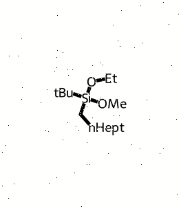 CCCCCCCC[Si](OC)(OCC)C(C)(C)C